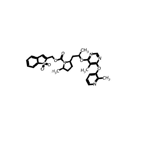 Cc1ncccc1Oc1ncnc(O[C@H](C)CC2CCC(C)N2C(=O)OCC2=Cc3ccccc3S2(=O)=O)c1C